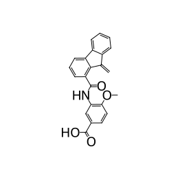 C=C1c2ccccc2-c2cccc(C(=O)Nc3cc(C(=O)O)ccc3OC)c21